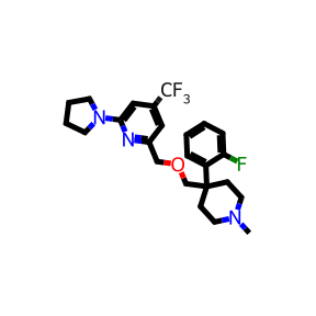 CN1CCC(COCc2cc(C(F)(F)F)cc(N3CCCC3)n2)(c2ccccc2F)CC1